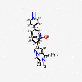 CCCc1nc(C)cn2nc(C3=C\C(=O)N4C=C(C5=CCNCC5)C=C\C4=C/C=C/3)cc12